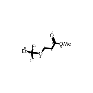 CCC(F)(F)OCCC(=O)OC